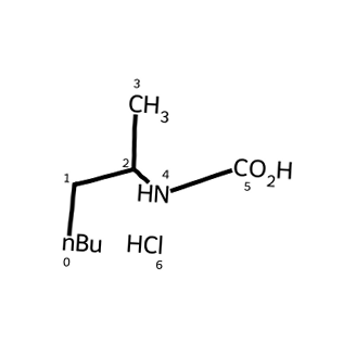 CCCCCC(C)NC(=O)O.Cl